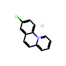 Clc1ccc2c(ccc3cccc[n+]32)c1.[Cl-]